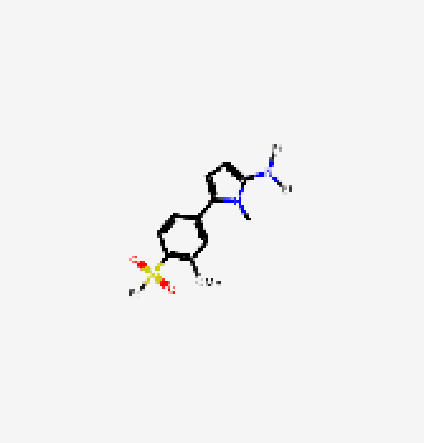 CCN(CC)c1ccc(-c2ccc(S(=O)(=O)CC)c(OC)c2)n1C